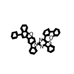 c1ccc(-c2cc3c4cc5c6ccccc6n(-c6nc(-c7cccc8c7oc7ccccc78)c7sc8ccccc8c7n6)c5cc4oc3c3ccccc23)cc1